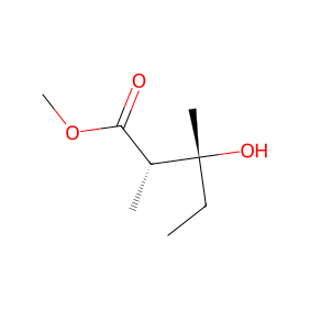 CC[C@@](C)(O)[C@H](C)C(=O)OC